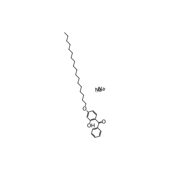 CCCCCCCCCCCCCCCCCCOc1ccc(C(=O)c2ccccc2)c(O)c1.[Na].[Na]